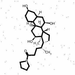 C[C@H](CCC(=O)N1CCCC1)[C@H]1CC[C@H]2[C@@H]3[C@H](O)C[C@@H]4C[C@H](O)CC[C@]4(C)[C@H]3C[C@H](O)[C@]12C